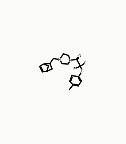 Cc1ccc(OC(F)(F)C(=O)N2CCN(CC3CC4C=CC3C4)CC2)cc1